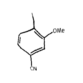 COc1cc(C#N)ccc1I